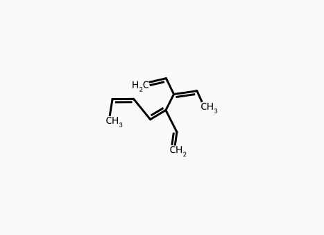 C=CC(=C/C)/C(C=C)=C\C=C/C